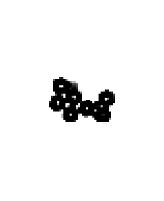 c1ccc(-c2ccc3oc4cccc5c6ccccc6c2c3c45)c(-c2ccc3c(c2)c2cccc4c5ccccc5n3c42)c1